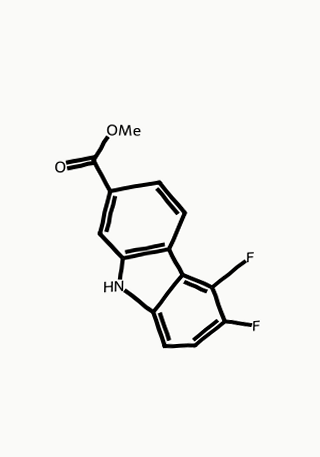 COC(=O)c1ccc2c(c1)[nH]c1ccc(F)c(F)c12